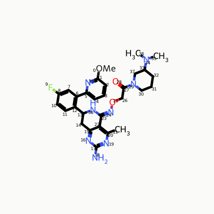 COc1cccc(-c2cc(F)ccc2C2Cc3nc(N)nc(C)c3C(=NOCC(=O)N3CCCC(N(C)C)C3)N2)n1